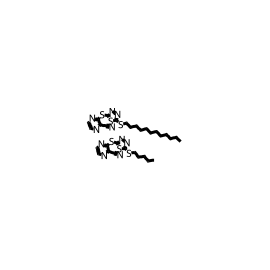 CCCCCCCCCCCCSc1nnc(Sc2nccnc2C#N)s1.CCCCCSc1nnc(Sc2nccnc2C#N)s1